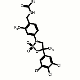 CCC(=O)NCc1ccc(N2CC(c3cc(Cl)c(Cl)c(Cl)c3)(C(F)(F)F)OS2(=O)=O)cc1C(F)(F)F